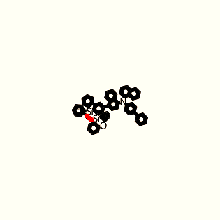 c1ccc(-c2ccc(N(c3cccc4ccccc34)c3ccc(-c4ccc5c(c4)[Si]4(c6ccccc6Oc6ccccc64)c4ccccc4[Si]5(c4ccccc4)c4ccccc4)c4ccccc34)cc2)cc1